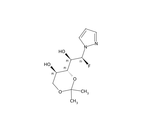 CC1(C)OC[C@@H](O)[C@H]([C@@H](O)[C@H](F)n2cccn2)O1